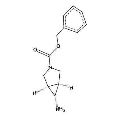 N[C@@H]1[C@H]2CN(C(=O)OCc3ccccc3)C[C@@H]12